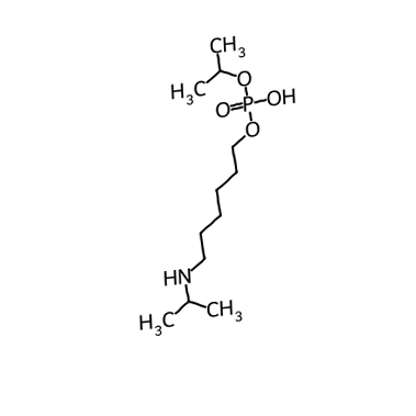 CC(C)NCCCCCCOP(=O)(O)OC(C)C